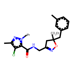 CCOC(=O)C1(Cc2cccc(C)c2)CC(CNC(=O)c2c(Cl)c(C)nn2C(C)C)=NO1